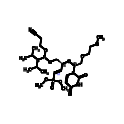 COCCOC[C@@H](O[C@H](/C=C/P(=O)(OC)OC)COP(OCCC#N)N(C(C)C)C(C)C)n1ccc(=O)[nH]c1=O